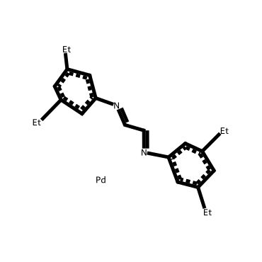 CCc1cc(CC)cc(N=CC=Nc2cc(CC)cc(CC)c2)c1.[Pd]